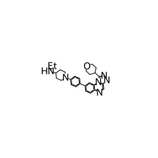 CCNC1CCN(c2ccc(-c3ccc4ncc5nnc(C6CCOCC6)n5c4c3)cc2)CC1